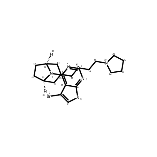 Brc1csc2ncnc(N3[C@@H]4CC[C@H]3CC(COCCN3CCCC3)C4)c12